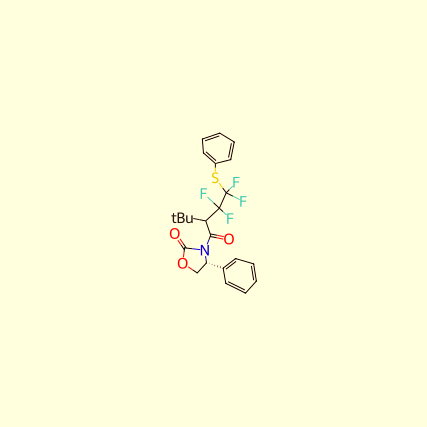 CC(C)(C)C(C(=O)N1C(=O)OC[C@H]1c1ccccc1)C(F)(F)C(F)(F)Sc1ccccc1